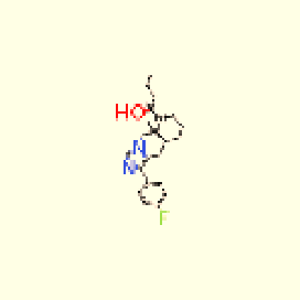 C=CC[C@H](O)[C@H]1CCCC2=Cc3c(-c4ccc(F)cc4)ncn3C[C@@]21C